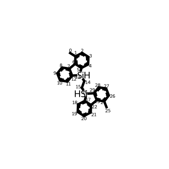 Cc1cccc2c1-c1ccccc1[SiH]2CC[SiH]1c2ccccc2-c2c(C)cccc21